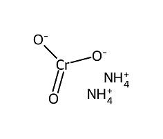 [NH4+].[NH4+].[O]=[Cr]([O-])[O-]